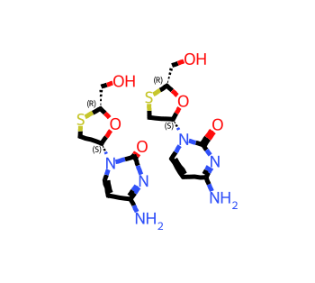 Nc1ccn([C@@H]2CS[C@H](CO)O2)c(=O)n1.Nc1ccn([C@@H]2CS[C@H](CO)O2)c(=O)n1